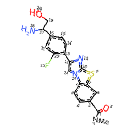 CNC(=O)c1ccc2c(c1)sc1nc(-c3ccc(C(N)CO)cc3F)cn12